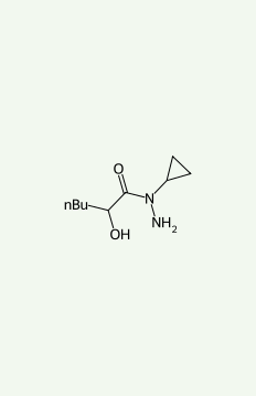 CCCCC(O)C(=O)N(N)C1CC1